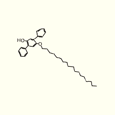 CCCCCCCCCCCCCCCCCCOc1cc(-c2ccccc2)c(O)cc1-c1ccccc1